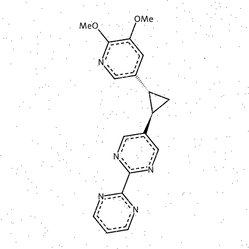 COc1cc([C@@H]2C[C@H]2c2cnc(-c3ncccn3)nc2)cnc1OC